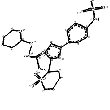 CS(=O)(=O)Nc1ccc(-c2ccc([C@@]3(CC(=O)NOC4CCCCO4)CCCCS3(=O)=O)s2)cc1